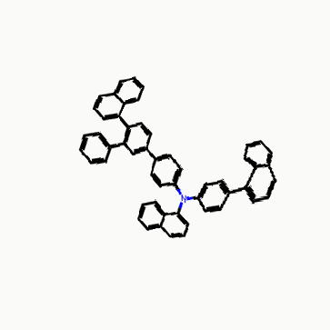 c1ccc(-c2cc(-c3ccc(N(c4ccc(-c5cccc6ccccc56)cc4)c4cccc5ccccc45)cc3)ccc2-c2cccc3ccccc23)cc1